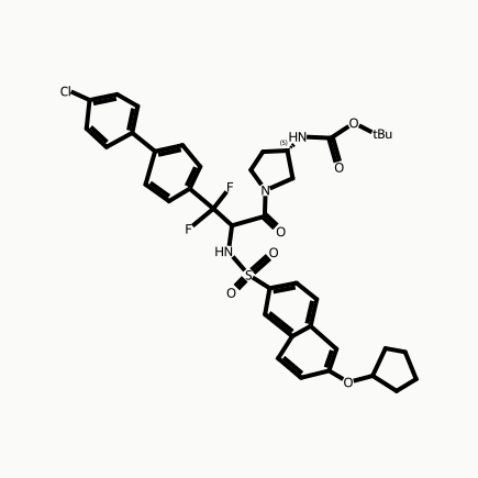 CC(C)(C)OC(=O)N[C@H]1CCN(C(=O)C(NS(=O)(=O)c2ccc3cc(OC4CCCC4)ccc3c2)C(F)(F)c2ccc(-c3ccc(Cl)cc3)cc2)C1